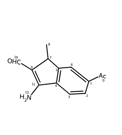 CC(=O)c1ccc2c(c1)C(C)C(C=O)=C2N